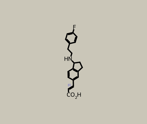 O=C(O)/C=C/c1ccc2c(c1)CCC2NCCc1ccc(F)cc1